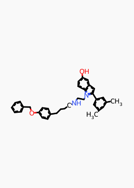 Cc1cc(C)cc(-c2cc3cc(O)ccc3n2CCNCCCCc2ccc(OCc3ccccc3)cc2)c1